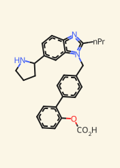 CCCc1nc2ccc(C3CCCN3)cc2n1Cc1ccc(-c2ccccc2OC(=O)O)cc1